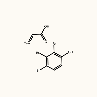 C=CC(=O)O.Oc1ccc(Br)c(Br)c1Br